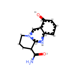 NC(=O)C1CCCn2cc3c(=O)cccc-3nc21